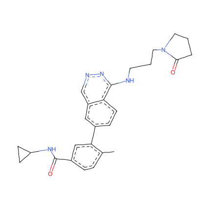 Cc1ccc(C(=O)NC2CC2)cc1-c1ccc2c(NCCCN3CCCC3=O)nncc2c1